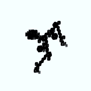 CCOC(=O)CCCCCCN1C(=O)CC[C@@H]1/C=C/C(OC(=O)Cc1cc(CC(=O)OC(/C=C/[C@H]2CCC(=O)N2CCCCCCC(=O)OCC)C(F)(F)c2ccccc2)cc(C(=O)NCCCC(O)(P(=O)(O)O)P(=O)(O)O)c1)C(F)(F)c1ccccc1